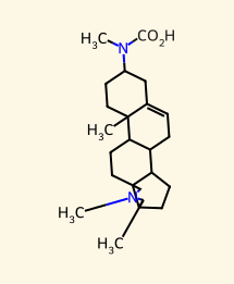 CC1C2CCC3C4CC=C5CC(N(C)C(=O)O)CCC5(C)C4CCC32CN1C